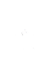 CC1=NCC(C(C)C)=C2CCCC(C(C)C)CCC12